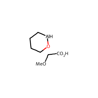 C1C[CH2][AlH][O]C1.COCC(=O)O